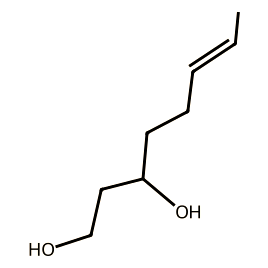 CC=CCCC(O)CCO